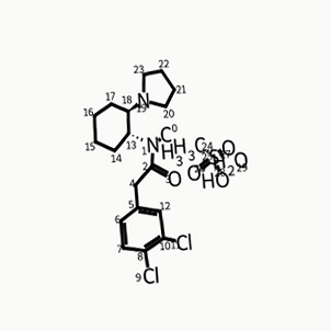 CN(C(=O)Cc1ccc(Cl)c(Cl)c1)[C@@H]1CCCC[C@H]1N1CCCC1.CS(=O)(=O)O.O